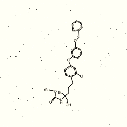 CCC(CO)(CCCc1ccc(Oc2cccc(OCc3ccccc3)c2)cc1Cl)NC(=O)OC(C)(C)C